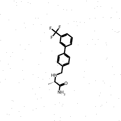 C[C@H](NCc1ccc(-c2cccc(C(F)(F)F)c2)cc1)C(N)=O